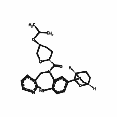 CC(C)O[C@H]1CC[C@H](C(=O)N2Cc3cccnc3Nc3ccc(N4C[C@H]5CC[C@@H]4CO5)cc32)OC1